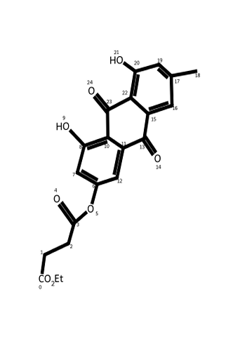 CCOC(=O)CCC(=O)Oc1cc(O)c2c(c1)C(=O)c1cc(C)cc(O)c1C2=O